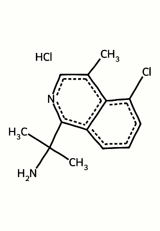 Cc1cnc(C(C)(C)N)c2cccc(Cl)c12.Cl